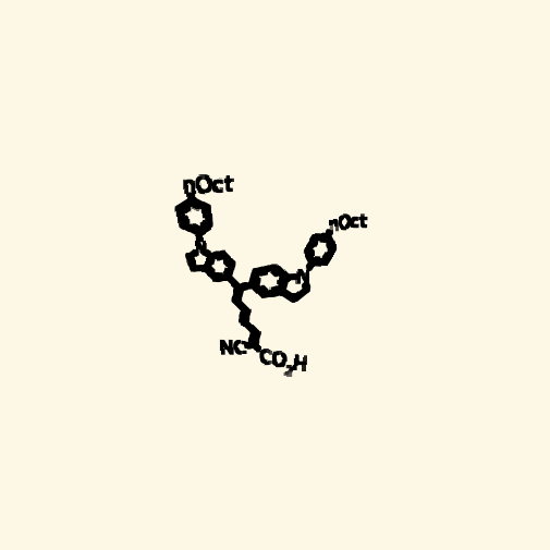 CCCCCCCCc1ccc(N2CCc3cc(C(=C/C=C/C=C(\C#N)C(=O)O)c4ccc5c(c4)CCN5c4ccc(CCCCCCCC)cc4)ccc32)cc1